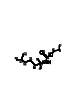 CCCOC(=O)NC(C)(C)CCCC(C)C